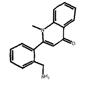 Cn1c(-c2ccccc2CN)cc(=O)c2ccccc21